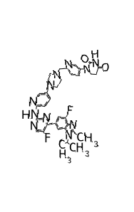 Cc1nc2c(F)cc(-c3nc(Nc4ccc(N5CCN(Cc6ccc(N7CCC(=O)NC7=O)cn6)CC5)cn4)ncc3F)cc2n1C(C)C